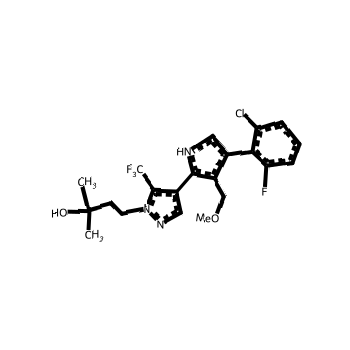 COCc1c(-c2c(F)cccc2Cl)c[nH]c1-c1cnn(CCC(C)(C)O)c1C(F)(F)F